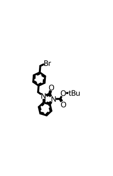 CC(C)(C)OC(=O)n1c(=O)n(Cc2ccc(CBr)cc2)c2ccccc21